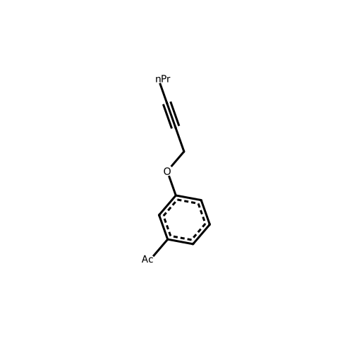 CCCC#CCOc1cccc(C(C)=O)c1